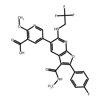 CNC(=O)c1c(-c2ccc(F)cc2)oc2nc(NCC(F)(F)F)c(-c3cnc(OC)c(C(=O)O)c3)cc12